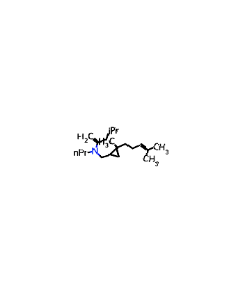 C=C(CC(C)C)N(CCC)CC1CC1(C)CCC=C(C)C